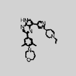 CCN1CCC(n2cc(-c3c[nH]c4ncc(-c5cc(C)c(N6CCCOCC6)c(C)c5)nc34)cn2)CC1